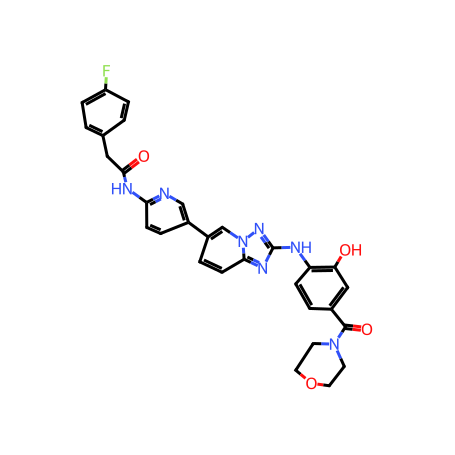 O=C(Cc1ccc(F)cc1)Nc1ccc(-c2ccc3nc(Nc4ccc(C(=O)N5CCOCC5)cc4O)nn3c2)cn1